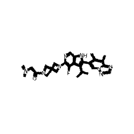 Cc1c(-c2[nH]c3cnc(N4CC5(CN(C(=O)CN(C)C)C5)C4)c(F)c3c2C(C)C)cn2ncnc2c1C